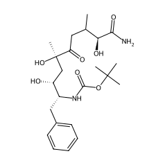 CC(CC(=O)[C@](C)(O)C[C@@H](O)[C@@H](Cc1ccccc1)NC(=O)OC(C)(C)C)[C@H](O)C(N)=O